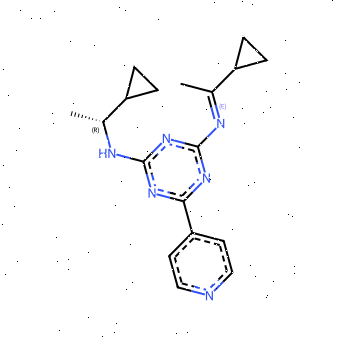 C/C(=N\c1nc(N[C@H](C)C2CC2)nc(-c2ccncc2)n1)C1CC1